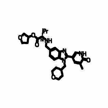 Cc1cc(-c2nc3cc(CN[C@H](C(=O)OC4CCOC4)C(C)C)ccc3n2CC2CCOCC2)c[nH]c1=O